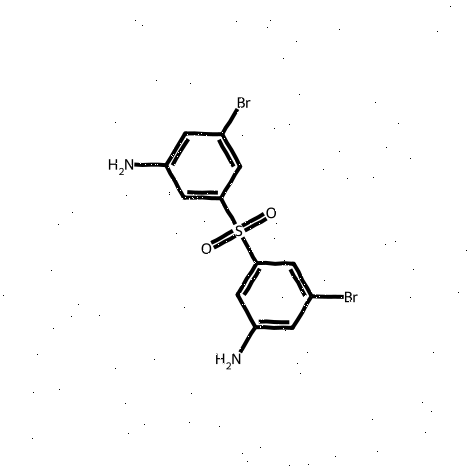 Nc1cc(Br)cc(S(=O)(=O)c2cc(N)cc(Br)c2)c1